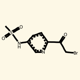 CS(=O)(=O)Nc1ccc(C(=O)CBr)nc1